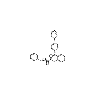 O=C(Cc1ccccc1Sc1ccc(C2C=CSC2)cc1)NOCc1ccccc1